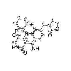 N=C(c1ccc(CN2CCOC2=O)cc1)c1c(Nc2c(F)cccc2F)c(Cl)c[nH]c1=O